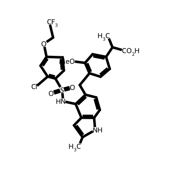 COc1cc(C(C)C(=O)O)ccc1Cc1ccc2[nH]c(C)cc2c1NS(=O)(=O)c1ccc(OCC(F)(F)F)cc1Cl